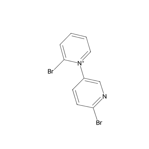 Brc1ccc(-[n+]2ccccc2Br)cn1